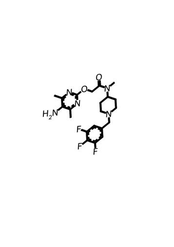 Cc1nc(OCC(=O)N(C)C2CCN(Cc3cc(F)c(F)c(F)c3)CC2)nc(C)c1N